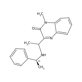 CC(N[C@@H](C)c1ccccc1)c1nc2ccccc2n(C)c1=O